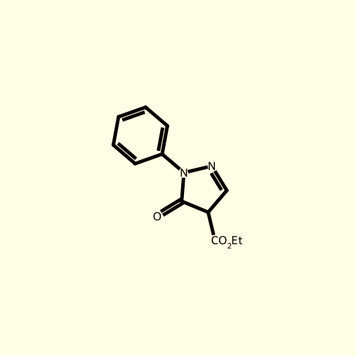 CCOC(=O)C1C=NN(c2ccccc2)C1=O